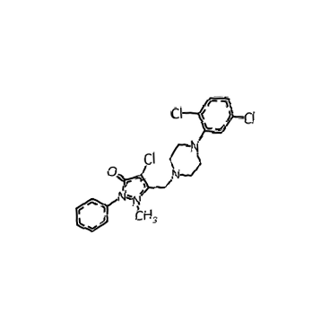 Cn1c(CN2CCN(c3cc(Cl)ccc3Cl)CC2)c(Cl)c(=O)n1-c1ccccc1